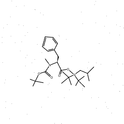 CC(C)C[Si](OC(=O)[C@H](Cc1ccccc1)N(C)C(=O)OC(C)(C)C)(C(C)(C)C)C(C)(C)C